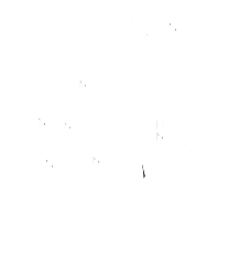 Nc1c(-c2ccc3c(c2)C(=O)NC3)c([C@H](Cc2cc(F)cc(F)c2)NC(=O)O)nc2ncnn12